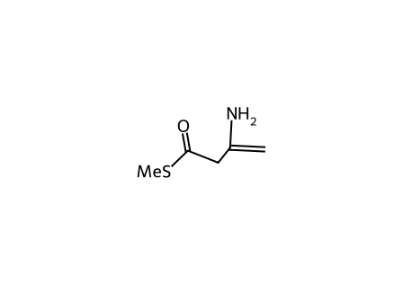 C=C(N)CC(=O)SC